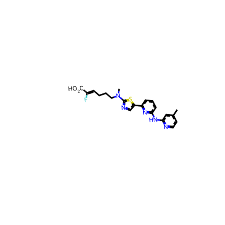 Cc1ccnc(Nc2cccc(-c3cnc(N(C)CCCC=C(F)C(=O)O)s3)n2)c1